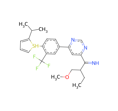 CCC(COC)C(=N)c1cc(-c2ccc([SH]3C=CC=C3C(C)C)c(C(F)(F)F)c2)ncn1